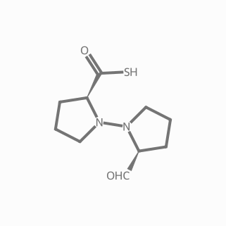 O=C[C@@H]1CCCN1N1CCC[C@H]1C(=O)S